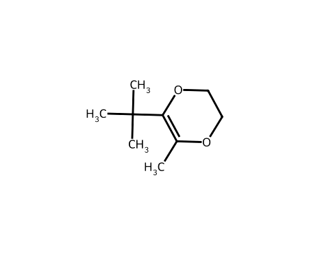 CC1=C(C(C)(C)C)OCCO1